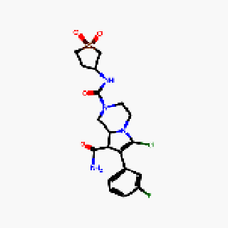 NC(=O)C1C(c2cccc(F)c2)=C(Cl)N2CCN(C(=O)NC3CCS(=O)(=O)C3)CC12